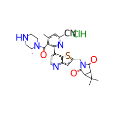 Cc1cc(C#N)nc(-c2ccnc3cc(CN4C(=O)C5C(C4=O)C5(C)C)sc23)c1C(=O)N1CCNC[C@H]1C.Cl